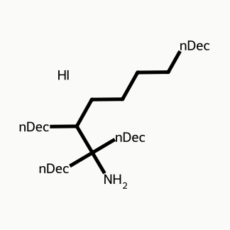 CCCCCCCCCCCCCCC(CCCCCCCCCC)C(N)(CCCCCCCCCC)CCCCCCCCCC.I